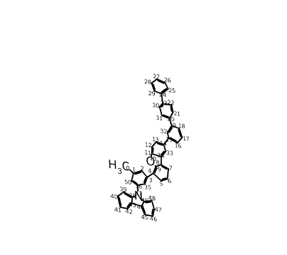 Cc1cc(-c2cccc3c2oc2ccc(-c4cccc(-c5ccc(-c6ccccc6)cc5)c4)cc23)cc(-n2c3ccccc3c3ccccc32)c1